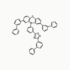 c1ccc(-c2cccc(-c3ccc4c(c3)N(c3cccc(-c5nc(-c6cccc(-c7ccccc7)c6)ns5)c3)c3cc(-c5cccc(-c6ccccc6)c5)ccc3S4)c2)cc1